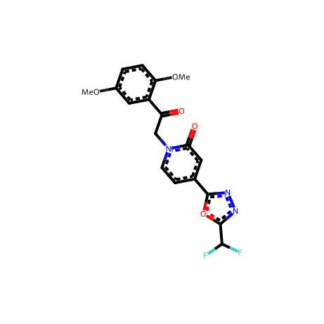 COc1ccc(OC)c(C(=O)Cn2ccc(-c3nnc(C(F)F)o3)cc2=O)c1